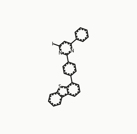 Ic1cc(-c2ccccc2)nc(-c2ccc(-c3cccc4c3sc3ccccc34)cc2)n1